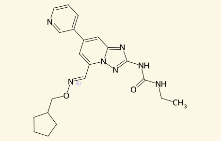 CCNC(=O)Nc1nc2cc(-c3cccnc3)cc(/C=N/OCC3CCCC3)n2n1